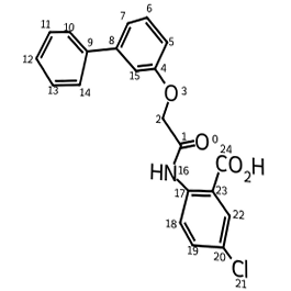 O=C(COc1cccc(-c2ccccc2)c1)Nc1ccc(Cl)cc1C(=O)O